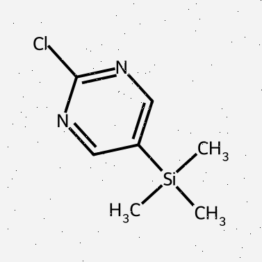 C[Si](C)(C)c1cnc(Cl)nc1